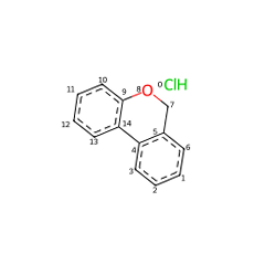 Cl.c1ccc2c(c1)COc1ccccc1-2